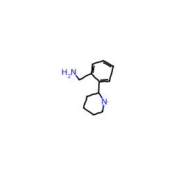 NCc1ccccc1C1CCCC[N]1